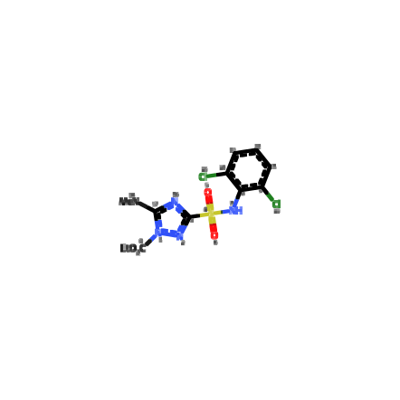 CCOC(=O)n1nc(S(=O)(=O)Nc2c(Cl)cccc2Cl)nc1NC